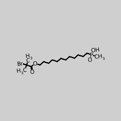 CC(C)(Br)C(=O)OCCCCCCCCCCCCP(C)(=O)O